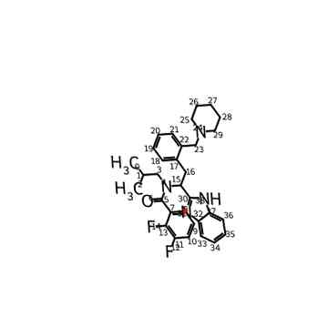 CC(C)CN(C(=O)c1cccc(F)c1F)C(Cc1ccccc1CN1CCCCC1)c1nc2ccccc2[nH]1